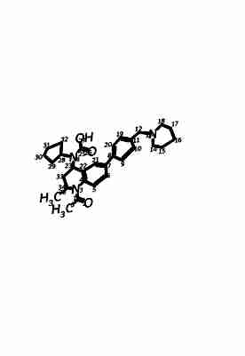 CC(=O)N1c2ccc(-c3ccc(CN4CCCCC4)cc3)cc2C(N(C(=O)O)C2CCCC2)CC1C